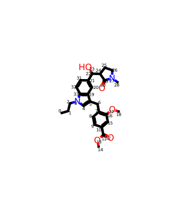 CCCn1cc(Cc2ccc(C(=O)OC)cc2OC)c2cc(C(O)C3CCN(C)C3=O)ccc21